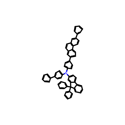 c1ccc(-c2ccc(N(c3ccc(-c4ccc5c(ccc6cc(-c7ccccc7)ccc65)c4)cc3)c3ccc4c(c3)C(c3ccccc3)(c3ccccc3)c3ccccc3-4)cc2)cc1